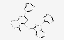 O=C1NCCc2nc(-c3ccccc3)cc(Nc3nn(-c4ccccc4)c4ncccc34)c21